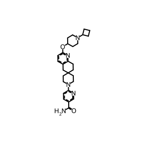 NC(=O)c1ccc(N2CCC3(CCc4nc(OC5CCN(C6CCC6)CC5)ccc4C3)CC2)nc1